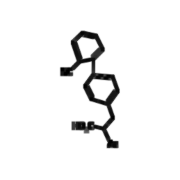 CC(=O)C(Cc1ccc(-c2ccccc2C#N)cc1)C(=O)O